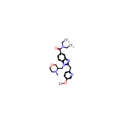 CCOc1ccc(Cc2nc3cc(C(=O)N(CC(F)(F)F)CC(F)(F)F)ccc3n2CC2COCCN2C)nc1